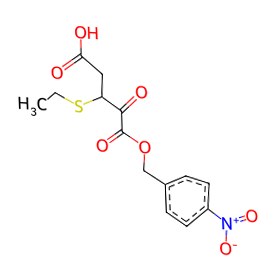 CCSC(CC(=O)O)C(=O)C(=O)OCc1ccc([N+](=O)[O-])cc1